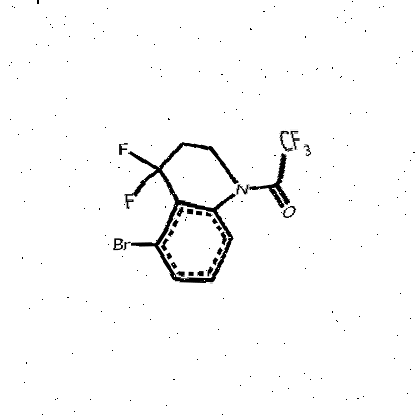 O=C(N1CCC(F)(F)c2c(Br)cccc21)C(F)(F)F